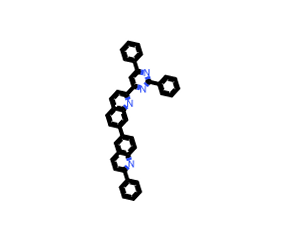 c1ccc(-c2cc(-c3ccc4ccc(-c5ccc6nc(-c7ccccc7)ccc6c5)cc4n3)nc(-c3ccccc3)n2)cc1